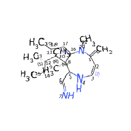 C=C1/C=C\NC(C=N)[C@@](C)([C@H](C)[C@@H](C)CC)/C(=C\CC)N1C